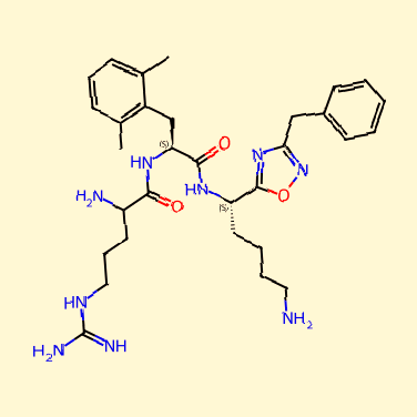 Cc1cccc(C)c1C[C@H](NC(=O)C(N)CCCNC(=N)N)C(=O)N[C@@H](CCCCN)c1nc(Cc2ccccc2)no1